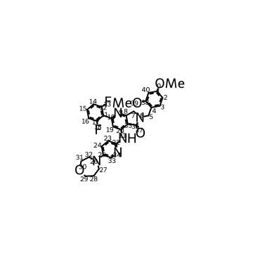 COc1ccc(CN2Cc3nc(-c4c(F)cccc4F)cc(Nc4ccc(N5CCCOCC5)cn4)c3C2=O)c(OC)c1